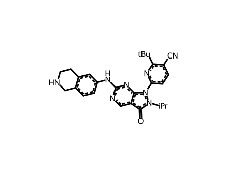 CC(C)n1c(=O)c2cnc(Nc3ccc4c(c3)CCNC4)nc2n1-c1ccc(C#N)c(C(C)(C)C)n1